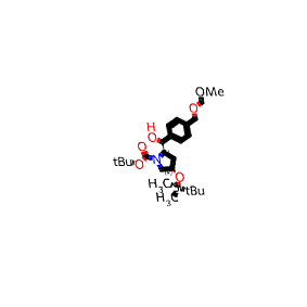 COCOCc1ccc(C(O)[C@@H]2C[C@@H](O[Si](C)(C)C(C)(C)C)CN2C(=O)OC(C)(C)C)cc1